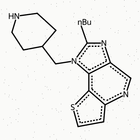 CCCCc1nc2cnc3ccsc3c2n1CC1CCNCC1